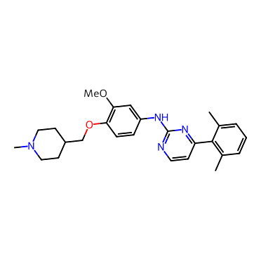 COc1cc(Nc2nccc(-c3c(C)cccc3C)n2)ccc1OCC1CCN(C)CC1